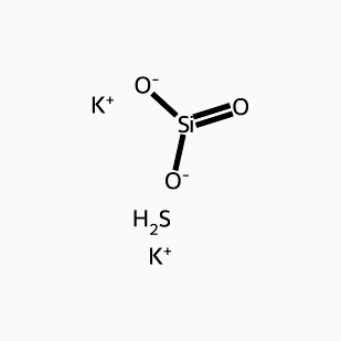 O=[Si]([O-])[O-].S.[K+].[K+]